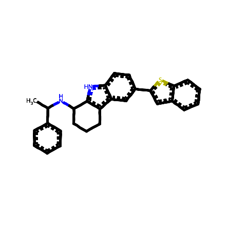 CC(NC1CCCc2c1[nH]c1ccc(-c3cc4ccccc4s3)cc21)c1ccccc1